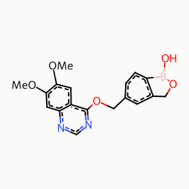 COc1cc2ncnc(OCc3ccc4c(c3)COB4O)c2cc1OC